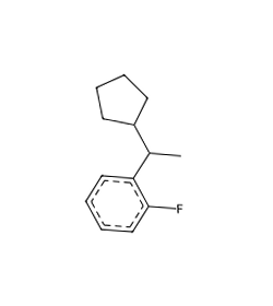 CC(c1ccccc1F)C1CCCC1